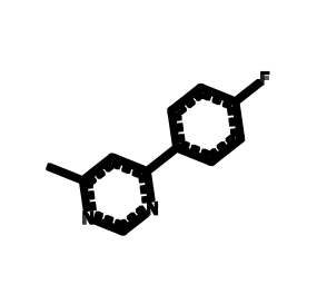 Cc1cc(-c2ccc(F)cc2)ncn1